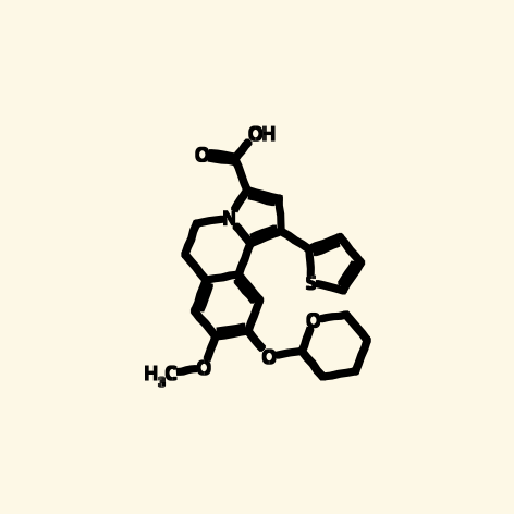 COc1cc2c(cc1OC1CCCCO1)-c1c(-c3cccs3)cc(C(=O)O)n1CC2